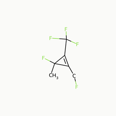 CC1(F)C(CF)=C1C(F)(F)F